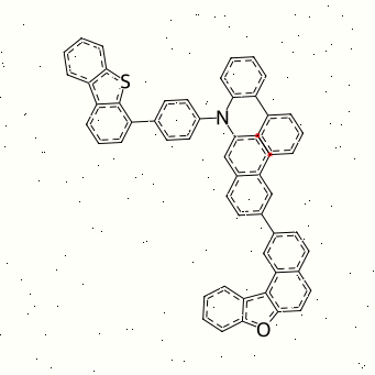 c1ccc(-c2ccccc2N(c2ccc(-c3cccc4c3sc3ccccc34)cc2)c2ccc3cc(-c4ccc5ccc6oc7ccccc7c6c5c4)ccc3c2)cc1